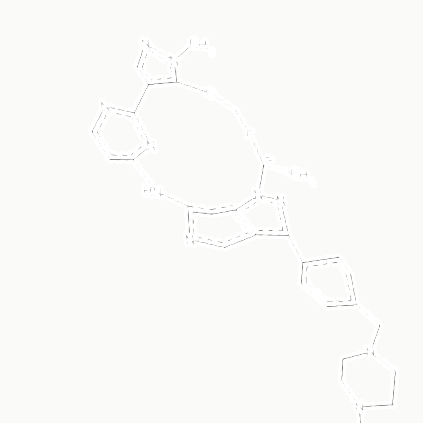 C[C@H]1CCOc2c(cnn2C)-c2nccc(n2)Nc2cc3c(cn2)c(-c2ccc(CN4CCN(C)CC4)cc2)nn31